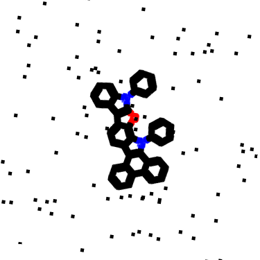 c1ccc(-n2c3ccccc3c3c4ccc5c6c7ccccc7c7ccccc7c6n(-c6ccccc6)c5c4oc32)cc1